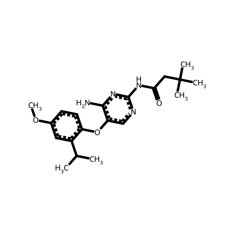 COc1ccc(Oc2cnc(NC(=O)CC(C)(C)C)nc2N)c(C(C)C)c1